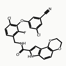 N#Cc1cc(Cl)cc(Oc2c(Cl)ccc(CNC(=O)c3cc4c5c(ccc4[nH]3)OCCS5)c2F)c1